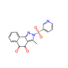 Cc1c2c(nn1S(=O)(=O)c1cccnc1)-c1ccccc1C(=O)C2=O